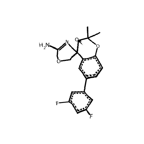 CC1(C)Oc2ccc(-c3cc(F)cc(F)c3)cc2C2(COC(N)=N2)C12COC2